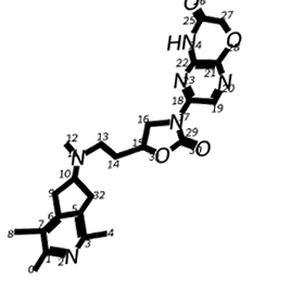 Cc1nc(C)c2c(c1C)CC(N(C)CCC1CN(c3cnc4c(n3)NC(=O)CO4)C(=O)O1)C2